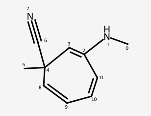 CNC1=CC(C)(C#N)C=CC=C1